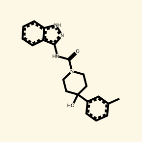 Cc1cccc(C2(O)CCN(C(=O)Nc3n[nH]c4ccccc34)CC2)c1